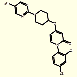 CCCc1cnc(N2CCC(Oc3ccn(-c4ccc(C#N)cc4Cl)c(=O)c3)CC2)nc1